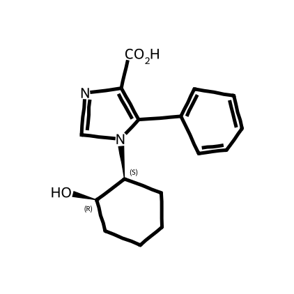 O=C(O)c1ncn([C@H]2CCCC[C@H]2O)c1-c1ccccc1